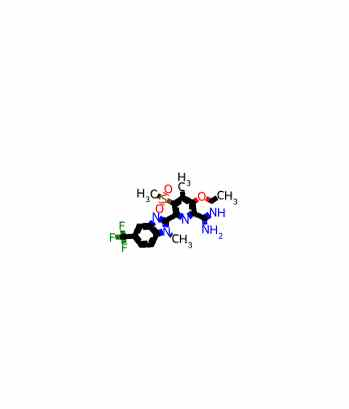 CCOc1c(C(=N)N)nc(-c2nc3cc(C(F)(F)F)ccc3n2C)c(S(C)(=O)=O)c1C